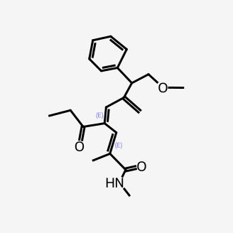 C=C(/C=C(\C=C(/C)C(=O)NC)C(=O)CC)C(COC)c1ccccc1